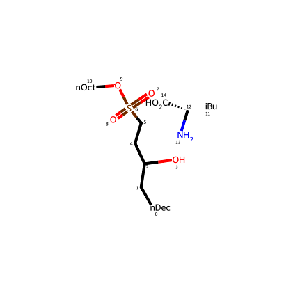 CCCCCCCCCCCC(O)CCS(=O)(=O)OCCCCCCCC.CC[C@H](C)[C@H](N)C(=O)O